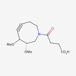 COC1C#CCCN(C(=O)CCC(=O)O)C[C@@H]1OC